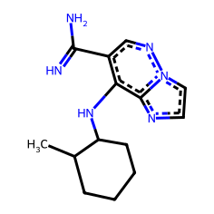 CC1CCCCC1Nc1c(C(=N)N)cnn2ccnc12